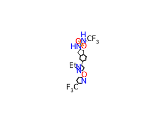 CCn1nc(Oc2ccc(C(F)(F)F)cn2)cc1-c1ccc2c(c1)CC(NS(=O)(=O)NCC(F)(F)F)C2